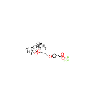 CC(C)CCC(C)(C(=O)OCCCCCCOc1ccc(/C=C/C(=O)OCC(F)(F)F)cc1)C(C)C